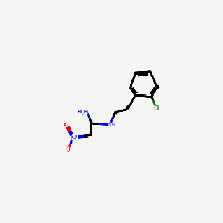 NC(C[N+](=O)[O-])NCCc1ccccc1Cl